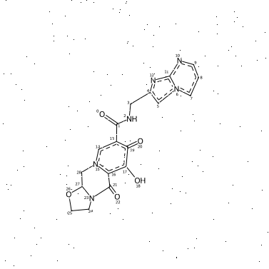 O=C(NCc1cn2cccnc2n1)c1cn2c(c(O)c1=O)C(=O)N1CCOC1C2